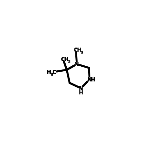 CN1CNNCC1(C)C